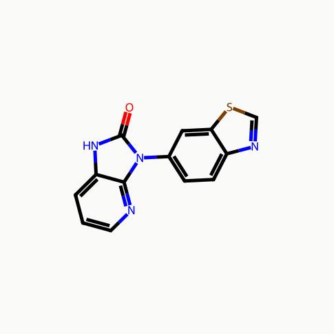 O=c1[nH]c2cccnc2n1-c1ccc2ncsc2c1